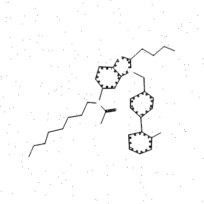 CCCCCCCCN(C(C)=O)c1ccc2nc(CCCC)n(Cc3ccc(-c4ccccc4C)cc3)c2c1